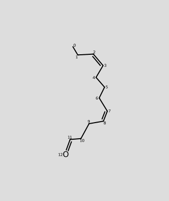 CC/C=C\CCC/C=C\CCC=O